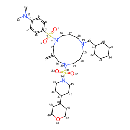 C=C1CN(S(=O)(=O)c2ccc(N(C)C)cc2)CCCN(CC2CCCCC2)CCCN(S(=O)(=O)N2CCC(C3CCOCC3)CC2)C1